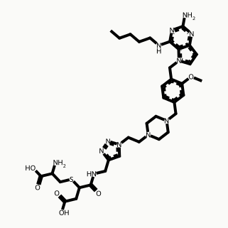 CCCCCNc1nc(N)nc2ccn(Cc3ccc(CN4CCN(CCn5cc(CNC(=O)C(CC(=O)O)SCC(N)C(=O)O)nn5)CC4)cc3OC)c12